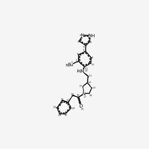 CCCCc1cc(-c2cn[nH]c2)ccc1NCC1CCN(C(=O)Cc2ccccc2)C1